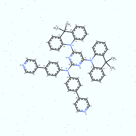 CC1(C)c2ccccc2N(c2cc(N3c4ccccc4C(C)(C)c4ccccc43)nc(N(c3ccc(-c4ccncc4)cc3)c3ccc(-c4ccncc4)cc3)n2)c2ccccc21